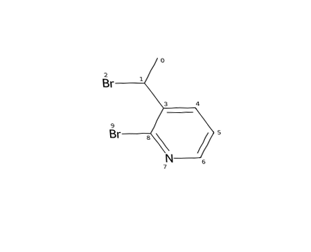 CC(Br)c1cccnc1Br